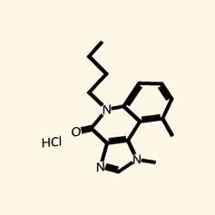 CCCCn1c(=O)c2ncn(C)c2c2c(C)cccc21.Cl